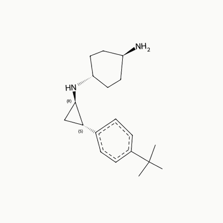 CC(C)(C)c1ccc([C@@H]2C[C@H]2N[C@H]2CC[C@H](N)CC2)cc1